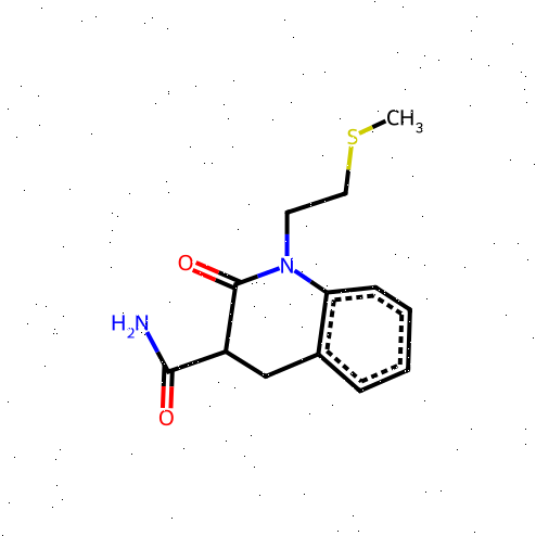 CSCCN1C(=O)C(C(N)=O)Cc2ccccc21